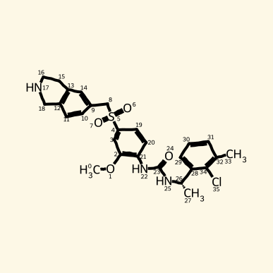 COc1cc(S(=O)(=O)Cc2ccc3c(c2)CCNC3)ccc1NC(=O)N[C@@H](C)c1cccc(C)c1Cl